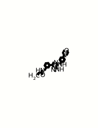 C=CC(=O)NCc1cccc(C2=CN=C(Nc3ccc(N4CCOCC4)cc3)C3NC=NN23)c1